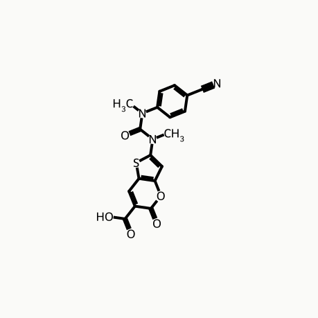 CN(C(=O)N(C)c1cc2oc(=O)c(C(=O)O)cc2s1)c1ccc(C#N)cc1